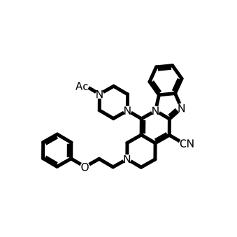 CC(=O)N1CCN(c2c3c(c(C#N)c4nc5ccccc5n24)CCN(CCOc2ccccc2)C3)CC1